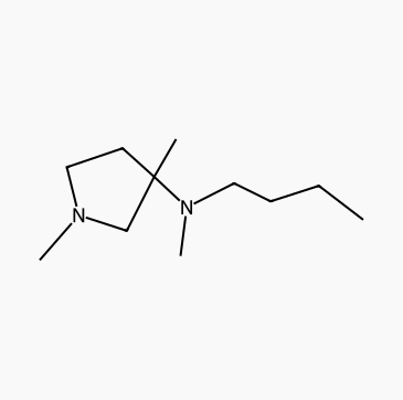 CCCCN(C)C1(C)CCN(C)C1